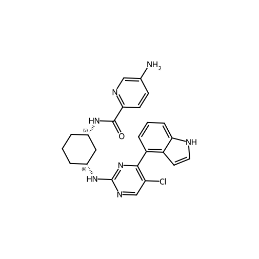 Nc1ccc(C(=O)N[C@H]2CCC[C@@H](Nc3ncc(Cl)c(-c4cccc5[nH]ccc45)n3)C2)nc1